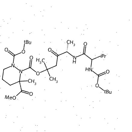 COC(=O)C1(C)CCCN(C(=O)OC(C)(C)C)N1C(=O)OC(C)(C)CC(=O)[C@H](C)NC(=O)C(NC(=O)OC(C)(C)C)C(C)C